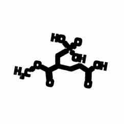 COC(=O)C(CCC(=O)O)CP(=O)(O)O